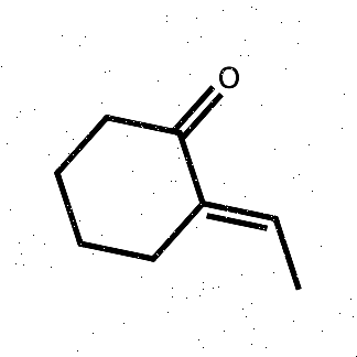 CC=C1CCCCC1=O